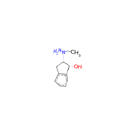 CN(N)[C@H]1Cc2ccccc2[C@H]1O